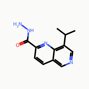 CC(C)c1cncc2ccc(C(=O)NN)nc12